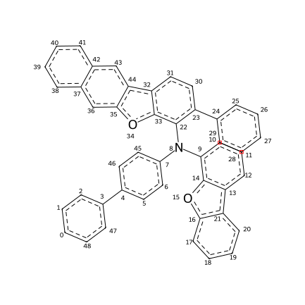 c1ccc(-c2ccc(N(c3cccc4c3oc3ccccc34)c3c(-c4ccccc4)ccc4c3oc3cc5ccccc5cc34)cc2)cc1